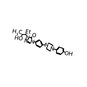 CC[C@@H]([C@H](C)O)n1ncn(-c2ccc(N3CCN(c4ccc(O)cc4)CC3)cc2)c1=O